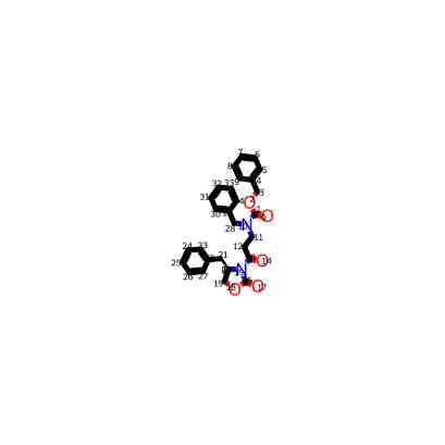 O=C(OCc1ccccc1)N(CCC(=O)N1C(=O)OC[C@H]1Cc1ccccc1)Cc1ccccc1